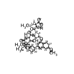 CCC1CC1(NC(=O)C1CC(Oc2cc(-c3ccccc3)nc3cc(OC)ccc23)CN1C(=O)C(NC(=O)OC(C)(C)C)C(C)C)C(=O)O